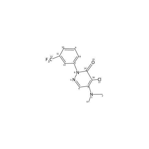 CN(C)c1cnn(-c2cccc(C(F)(F)F)c2)c(=O)c1Cl